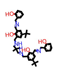 CC(C)(CNCc1cc(C(C)(C)C)cc(/C=N/Cc2ccccc2O)c1O)CNCc1cc(C(C)(C)C)cc(/C=N/Cc2ccccc2O)c1O